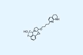 O=C(O)C(c1c(F)cccc1C1CC1)N1CCC(OCCCCc2ccc3c(n2)NCCC3)C1